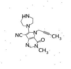 CC#CCn1c(N2CCCNCC2)c(C#N)c2ncn(C)c(=O)c21